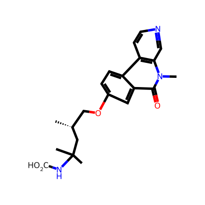 C[C@H](COc1ccc2c(c1)c(=O)n(C)c1cnccc21)CC(C)(C)NC(=O)O